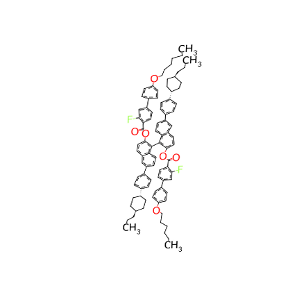 CCCCCCOc1ccc(-c2ccc(C(=O)Oc3ccc4cc(-c5ccc([C@H]6CC[C@H](CCC)CC6)cc5)ccc4c3-c3c(OC(=O)c4ccc(-c5ccc(OCCCCCC)cc5)cc4F)ccc4cc(-c5ccc([C@H]6CC[C@H](CCC)CC6)cc5)ccc34)c(F)c2)cc1